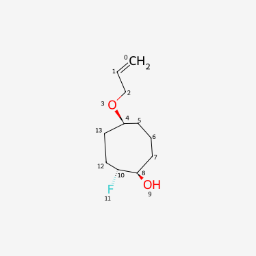 C=CCO[C@H]1CCC[C@@H](O)[C@H](F)CC1